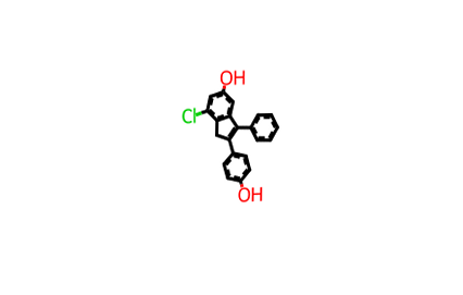 Oc1ccc(C2=C(c3ccccc3)c3cc(O)cc(Cl)c3C2)cc1